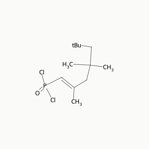 CC(=CP(=O)(Cl)Cl)CC(C)(C)CC(C)(C)C